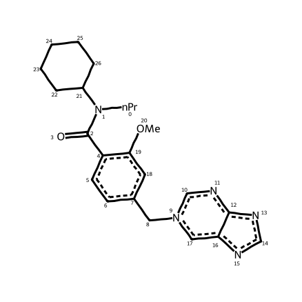 CCCN(C(=O)c1ccc(Cn2cnc3ncnc-3c2)cc1OC)C1CCCCC1